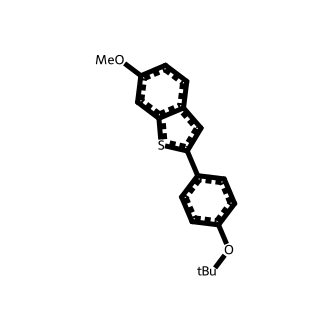 COc1ccc2cc(-c3ccc(OC(C)(C)C)cc3)sc2c1